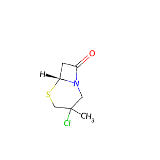 CC1(Cl)CS[C@@H]2CC(=O)N2C1